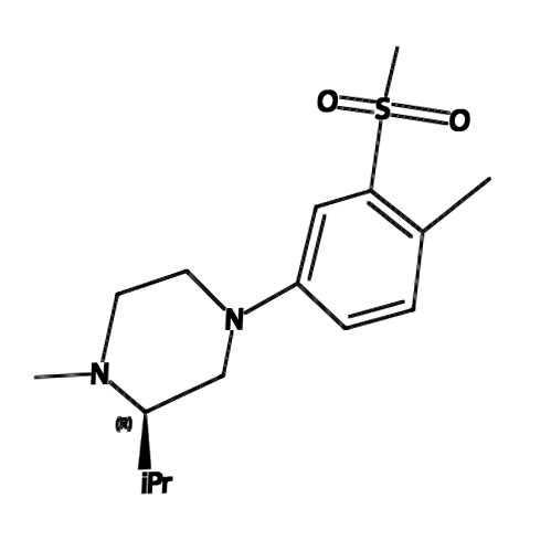 Cc1ccc(N2CCN(C)[C@H](C(C)C)C2)cc1S(C)(=O)=O